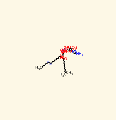 CCCCCC/C=C\C=C/CCCCCCCC(=O)O[C@H](COC(=O)CCCCCCCCCC(C)C)COP(=O)(O)OP(=O)(O)OC[C@H]1O[C@@H](n2ccc(N)nc2=O)C(O)[C@H]1O